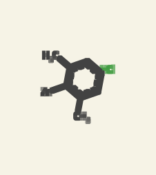 Cc1cccc(C)[c]1[Zn].Cl